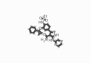 CCS(=O)(=O)Nc1ccc(-c2n[nH]c(Nc3cnccn3)c2C(N)=O)cc1OC1(c2ccccc2)CC1